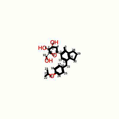 Cc1c([C@H]2C[C@@H](O)[C@@H](O)[C@@H](CO)O2)cc(Cc2ccc(OC(C)C)cc2)c2c1CCC2